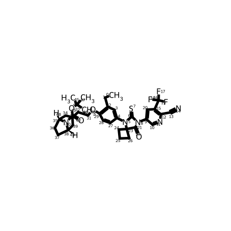 CCc1cc(N2C(=S)N(c3cnc(C#N)c(C(F)(F)F)c3)C(=O)C23CCC3)ccc1OCCC1C[C@H]2CC[C@@H](C1)N2C(=O)OC(C)(C)C